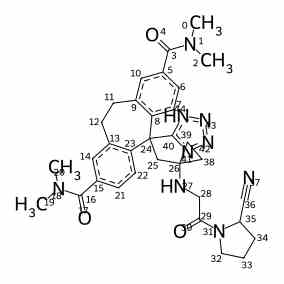 CN(C)C(=O)c1ccc2c(c1)CCc1cc(C(=O)N(C)C)ccc1C2(CC1(NCC(=O)N2CCCC2C#N)CC1)c1nnn[nH]1